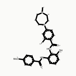 COc1ccc(C(=O)Nc2cccc(O)c2NC(=O)c2ccc(N3CCCN(C)CC3)cc2F)cc1